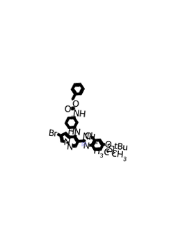 CC(C)(C)[Si](C)(C)Oc1ccc(/N=C(\N)c2cnn3cc(Br)cc3c2N[C@H]2CCC[C@H](NC(=O)OCc3ccccc3)C2)c(Cl)c1